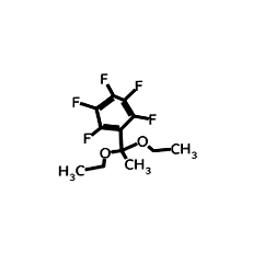 CCOC(C)(OCC)c1c(F)c(F)c(F)c(F)c1F